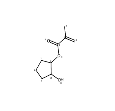 C=C(C)C(=O)OC1CCCC1O